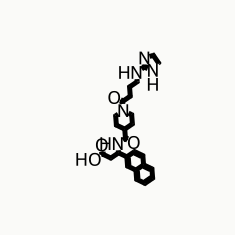 O=C(O)CC(NC(=O)C1CCN(C(=O)CCCNC2=NCCN2)CC1)c1ccc2ccccc2c1